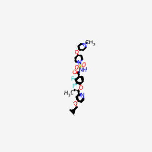 CC[C@@H](Oc1ccc(C(=O)NS(=O)(=O)N2CCC(OC3CCN(C)CC3)CC2)c(F)c1F)c1cc(OCC2CC2)ccn1